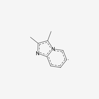 Cc1nc2cc[c]cn2c1C